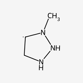 CN1[CH]CNN1